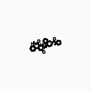 CNC(=O)c1cn(CC2(O)CCN(C(=O)C3(C)CCCC3)CC23CCCC3)c(=O)cc1-c1ccccc1